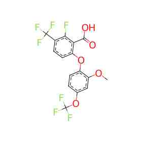 COc1cc(OC(F)(F)F)ccc1Oc1ccc(C(F)(F)F)c(F)c1C(=O)O